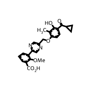 COc1c(C(=O)O)cccc1-c1cnc(COc2ccc(C(=O)C3CC3)c(O)c2C)cn1